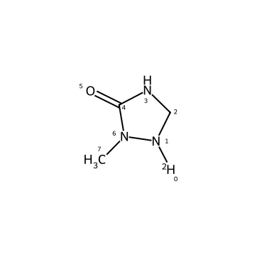 [2H]N1CNC(=O)N1C